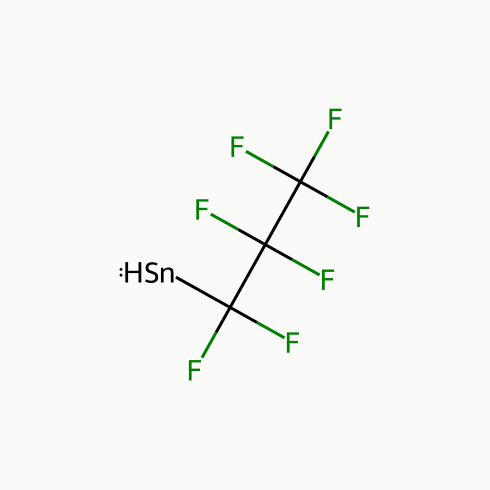 FC(F)(F)C(F)(F)[C](F)(F)[SnH]